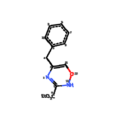 CCOC(=O)C1=NC(Cc2ccccc2)=CON1